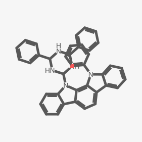 c1ccc(C2NC(c3ccccc3)NC(n3c4ccccc4c4ccc5c6ccccc6n(-c6ccccc6)c5c43)N2)cc1